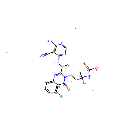 CC(Nc1ncnc(N)c1C#N)c1nc2cccc(Cl)c2c(=O)n1CCC(C)(C)NC(=O)O